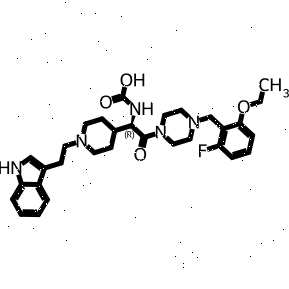 CCOc1cccc(F)c1CN1CCN(C(=O)[C@H](NC(=O)O)C2CCN(CCc3c[nH]c4ccccc34)CC2)CC1